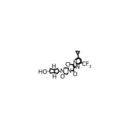 O=C(c1nc2c(C(F)(F)F)cc(C3CC3)cn2c1Cl)N1CCN([C@@H]2C[C@H]3C[C@H](O)C[C@H]3C2)C(=O)C1